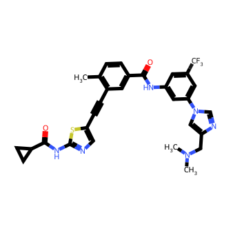 Cc1ccc(C(=O)Nc2cc(-n3cnc(CN(C)C)c3)cc(C(F)(F)F)c2)cc1C#Cc1cnc(NC(=O)C2CC2)s1